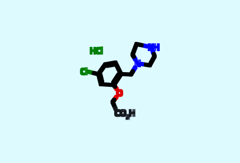 Cl.O=C(O)COc1cc(Cl)ccc1CN1CCNCC1